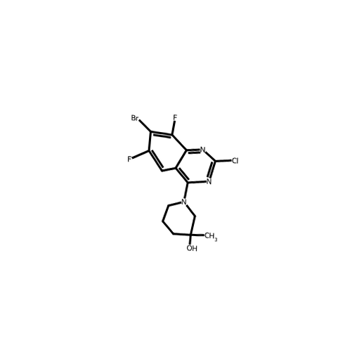 CC1(O)CCCN(c2nc(Cl)nc3c(F)c(Br)c(F)cc23)C1